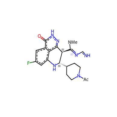 CN/C(=N\C=N)[C@@H]1c2n[nH]c(=O)c3cc(F)cc(c23)N[C@H]1C1CCN(C(C)=O)CC1